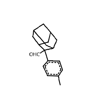 Cc1ccc(C2(C=O)C3CC4CC(C3)CC2C4)cc1